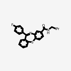 CC(C)CNC(=O)c1ccc2c(c1)N=C(c1ccc(F)cc1)c1ccccc1S2